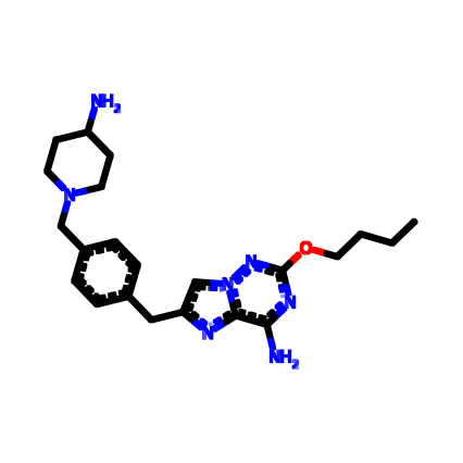 CCCCOc1nc(N)c2nc(Cc3ccc(CN4CCC(N)CC4)cc3)cn2n1